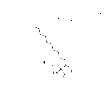 CCCCCCCCCCC(CC)C(N)(CC)CC.I